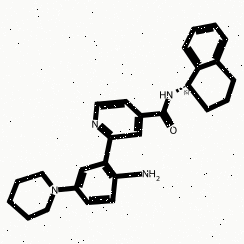 Nc1ccc(N2CCCCC2)cc1-c1cc(C(=O)N[C@H]2CCCc3ccccc32)ccn1